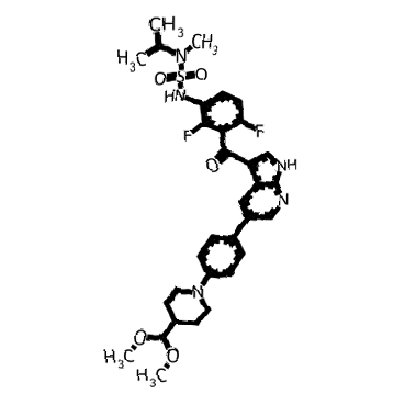 COC(OC)C1CCN(c2ccc(-c3cnc4[nH]cc(C(=O)c5c(F)ccc(NS(=O)(=O)N(C)C(C)C)c5F)c4c3)cc2)CC1